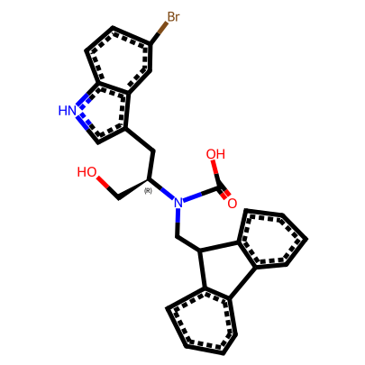 O=C(O)N(CC1c2ccccc2-c2ccccc21)[C@@H](CO)Cc1c[nH]c2ccc(Br)cc12